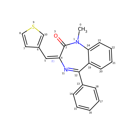 CN1C(=O)/C(=C\c2ccsc2)N=C(c2ccccc2)c2ccccc21